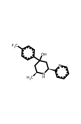 C[C@H]1CC(O)(c2ccc(C(F)(F)F)cc2)C[C@@H](c2ccccn2)N1